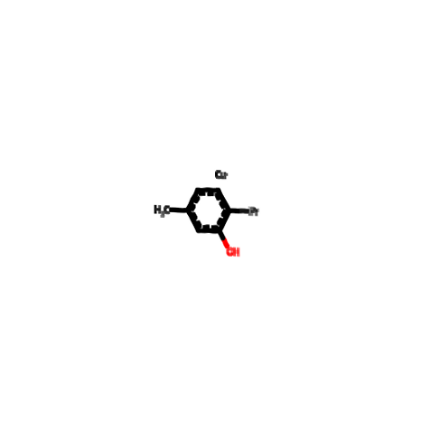 Cc1ccc(C(C)C)c(O)c1.[Cu]